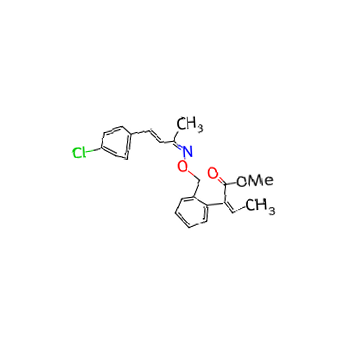 CC=C(C(=O)OC)c1ccccc1CON=C(C)C=Cc1ccc(Cl)cc1